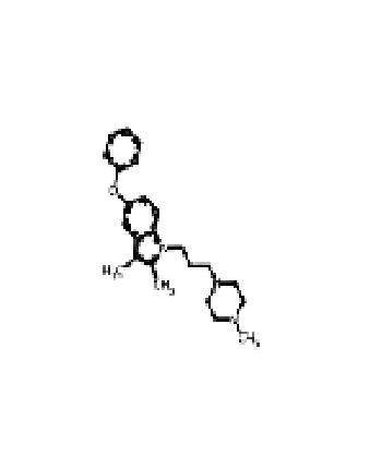 Cc1c(C)n(CCCN2CCN(C)CC2)c2ccc(Oc3c[c]ccc3)cc12